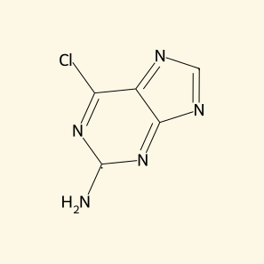 N[C]1N=C(Cl)C2=NC=NC2=N1